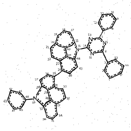 c1ccc(-c2nc(-c3ccccc3)nc(-n3c4cccc5ccc6c(-c7ccc8c9c7ccc7cccc(c79)n8-c7ccccc7)ccc3c6c54)n2)cc1